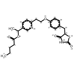 CCCCC(=O)OC(C)c1ccc(CCOc2ccc(CC3SC(=O)NC3=O)cc2)nc1